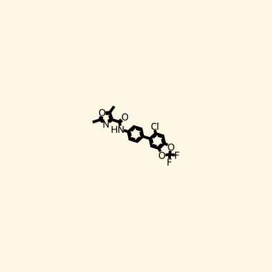 Cc1nc(C(=O)Nc2ccc(-c3cc4c(cc3Cl)OC(F)(F)O4)cc2)c(C)o1